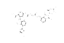 CNC(=O)c1nnc(NC(=O)CNC(=O)CNc2cccc3c2C(=O)N(C2CCC(=O)NC2=O)C3=O)cc1Nc1cccc(-c2ncn(C)n2)c1OC